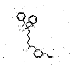 C[C@@H](CCCCC(C)(C)[Si](O)(c1ccccc1)c1ccccc1)C[C@@H]1CC=C[C@@H](CC=O)O1